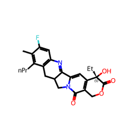 CCCc1c(C)c(F)cc2c1CC1Cn3c(cc4c(c3=O)COC(=O)[C@]4(O)CC)C1=N2